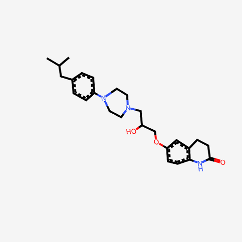 CC(C)Cc1ccc(N2CCN(CC(O)COc3ccc4c(c3)CCC(=O)N4)CC2)cc1